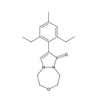 CCc1cc(C)cc(CC)c1-c1[c]n2n(c1=O)CCOCC2